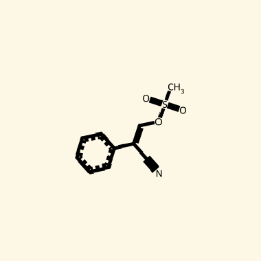 CS(=O)(=O)OC=C(C#N)c1ccccc1